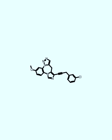 COc1ccc2c(c1)-n1nncc1Cc1c(C#CCc3cccc(Cl)c3)ncn1-2